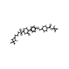 CC1(OC(=O)N2CCC(COc3cnc(N4CCN(S(=O)(=O)CCCN5CC(F)(F)C5)CC4=O)cn3)CC2)CC1